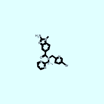 C[C@H](c1ncccn1)N(Cc1ccc(Br)cn1)C(=O)c1ccc2c(c1)nc(N)n2C